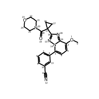 COc1ccc(-c2cccc(C#N)c2)n2nc(C3(C(=O)N4CCOCC4)CC3)nc12